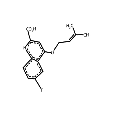 CC(C)=CCOc1cc(C(=O)O)nc2ccc(F)cc12